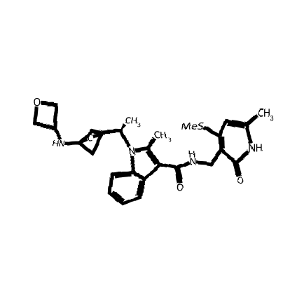 CSc1cc(C)[nH]c(=O)c1CNC(=O)c1c(C)n([C@H](C)C23CC(NC4COC4)(C2)C3)c2ccccc12